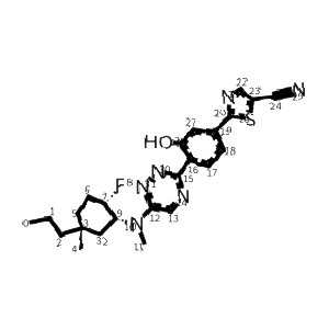 CCC[C@]1(C)CC[C@H](F)[C@H](N(C)c2cnc(-c3ccc(-c4ncc(C#N)s4)cc3O)nn2)C1